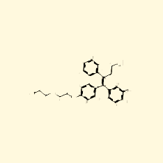 OCCOCCOc1ccc(C(=C(CCCl)c2ccccc2)c2cccc(O)c2)cc1